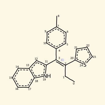 CC/C(=C(/c1ccc(C)cc1)c1cc2ccccc2[nH]1)c1cccs1